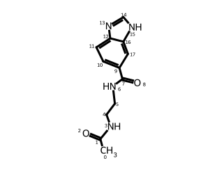 CC(=O)NCCNC(=O)c1ccc2nc[nH]c2c1